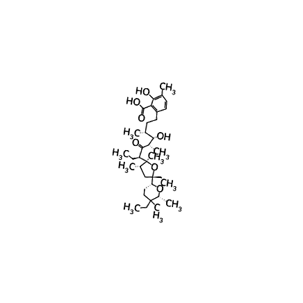 CC[C@@H](C(=O)[C@@H](C)[C@@H](O)[C@H](C)CCc1ccc(C)c(O)c1C(=O)O)[C@@]1(C)O[C@](CC)([C@H]2CCC(C)(CC)[C@@H](C)O2)C[C@@H]1C